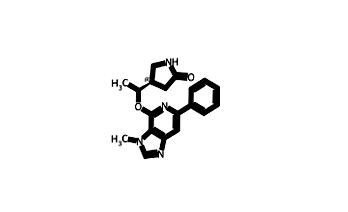 CC(Oc1nc(-c2ccccc2)cc2ncn(C)c12)[C@H]1CNC(=O)C1